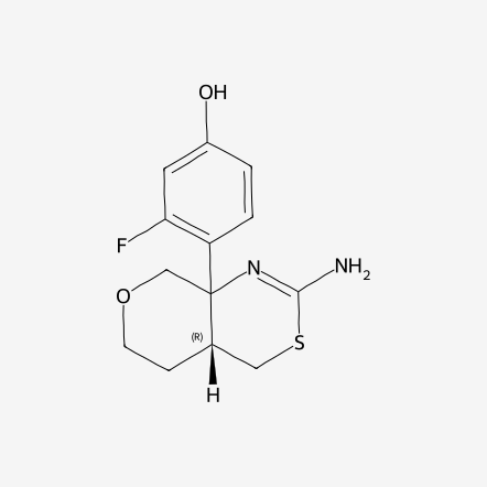 NC1=NC2(c3ccc(O)cc3F)COCC[C@H]2CS1